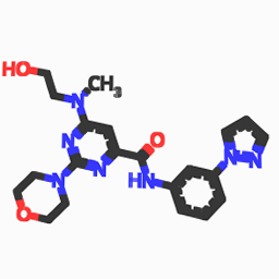 CN(CCO)c1cc(C(=O)Nc2cccc(-n3cccn3)c2)nc(N2CCOCC2)n1